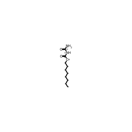 CCCCCCCCOC(=O)NC(N)=O